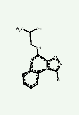 CCc1nnc2c(NCC(C)O)nc3ccccc3n12